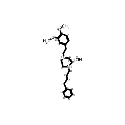 COc1ccc(CCN2CCN(CCCCc3ccccc3)CC2)cc1OC.Cl.Cl